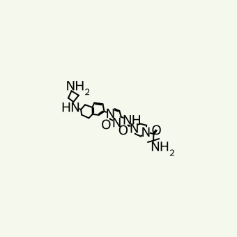 CC(C)(N)C(=O)N1CCN(C(=O)Nc2ccn(-c3ccc4c(c3)CCC(N[C@H]3C[C@@H](N)C3)C4)c(=O)n2)CC1